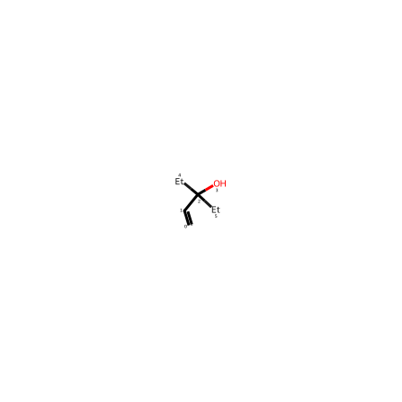 [CH]=CC(O)(CC)CC